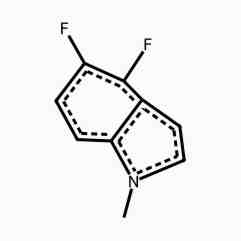 Cn1ccc2c(F)c(F)ccc21